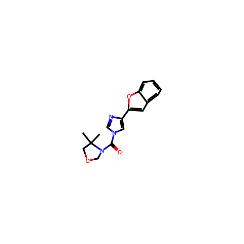 CC1(C)COCN1C(=O)n1cnc(-c2cc3ccccc3o2)c1